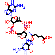 Nc1nc2c(ncn2[C@@H]2O[C@@H]3COP(=O)(O)OC4[C@@H](COP(=O)(O)OC3[C@@H]2O)O[C@@H](n2cnc3c(=O)[nH]c(N)nc32)[C@H]4NC(=O)CCCC(=O)O)c(=O)[nH]1